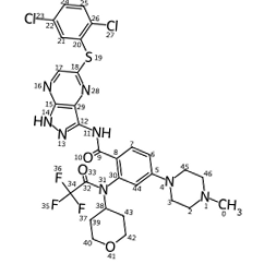 CN1CCN(c2ccc(C(=O)Nc3n[nH]c4ncc(Sc5cc(Cl)ccc5Cl)nc34)c(N(C(=O)C(F)(F)F)C3CCOCC3)c2)CC1